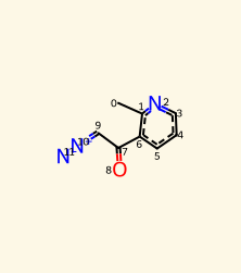 Cc1ncccc1C(=O)C=[N+]=[N-]